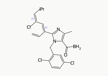 BC(=O)c1c(C)nc(/C(C=C)=C/C(Cl)=C\C(C)C)n1Cc1cc(Cl)ccc1Cl